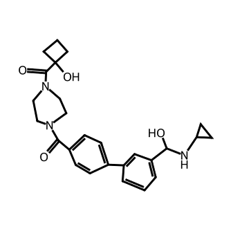 O=C(c1ccc(-c2cccc(C(O)NC3CC3)c2)cc1)N1CCN(C(=O)C2(O)CCC2)CC1